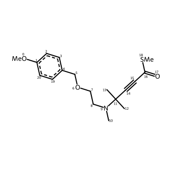 COc1ccc(COCCN(C)C(C)(C)C#CC(=O)SC)cc1